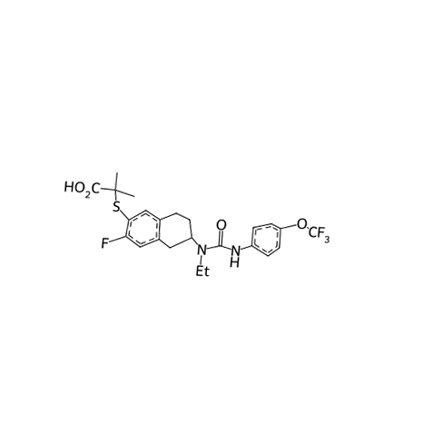 CCN(C(=O)Nc1ccc(OC(F)(F)F)cc1)C1CCc2cc(SC(C)(C)C(=O)O)c(F)cc2C1